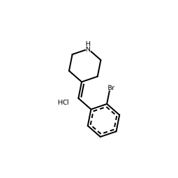 Brc1ccccc1C=C1CCNCC1.Cl